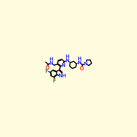 CC(=O)NCc1ccc(N[C@@H]2CCC[C@H](NC(=O)N3CCCC3)C2)nc1-c1c[nH]c2c(F)cc(F)cc12